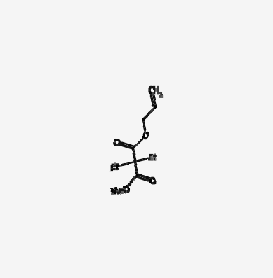 C=CCOC(=O)C(CC)(CC)C(=O)OC